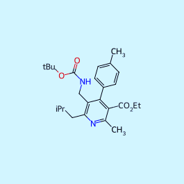 CCOC(=O)c1c(C)nc(CC(C)C)c(CNC(=O)OC(C)(C)C)c1-c1ccc(C)cc1